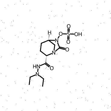 CCN(CC)NC(=O)[C@@H]1CC[C@@H]2CN1C(=O)N2OS(=O)(=O)O